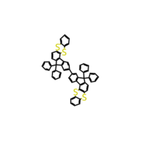 c1ccc(C2(c3ccccc3)c3cc(-c4ccc5c(c4)C(c4ccccc4)(c4ccccc4)c4ccc6c(c4-5)Sc4ccccc4S6)ccc3-c3c2ccc2c3Sc3ccccc3S2)cc1